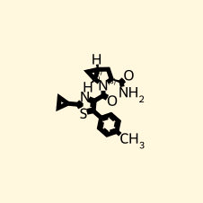 Cc1ccc(-c2sc(C3CC3)nc2C(=O)N2[C@H](C(N)=O)C[C@H]3C[C@@H]32)cc1